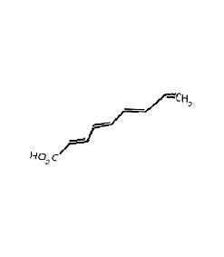 C=CC=CC=CC=CC(=O)O